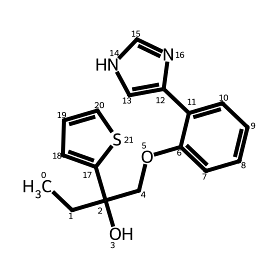 CCC(O)(COc1ccccc1-c1c[nH]cn1)c1cccs1